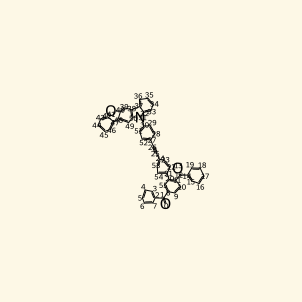 O=C(c1ccccc1)c1ccc(C(=O)c2ccccc2)c(-c2ccc(C#Cc3ccc(-n4c5ccccc5c5cc6oc7ccccc7c6cc54)cc3)cc2)c1